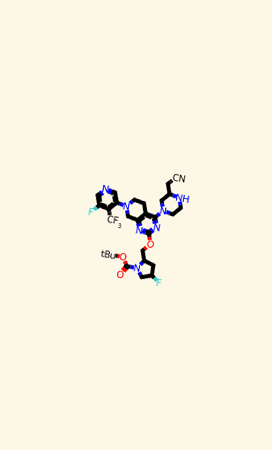 CC(C)(C)OC(=O)N1CC(F)CC1COc1nc2c(c(N3CCNC(CC#N)C3)n1)CCN(c1cncc(F)c1C(F)(F)F)C2